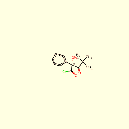 CC(C)(C)C(=O)[C@@](O)(C(=O)Cl)c1ccccc1